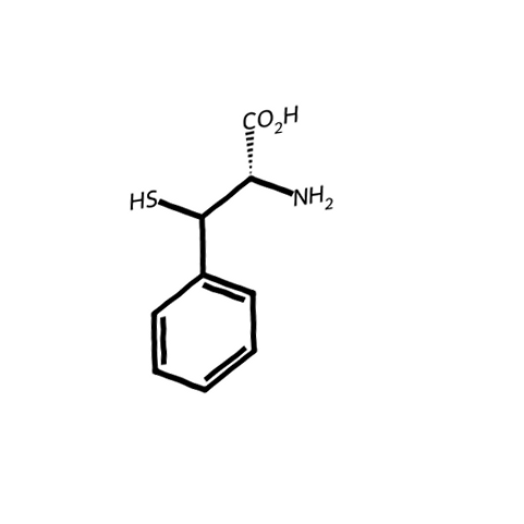 N[C@@H](C(=O)O)C(S)c1ccccc1